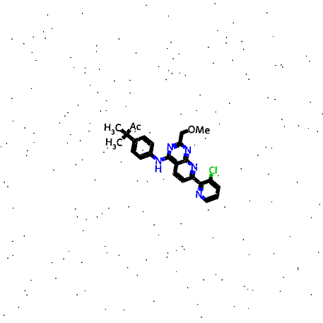 COCc1nc(Nc2ccc(C(C)(C)C(C)=O)cc2)c2ccc(-c3ncccc3Cl)nc2n1